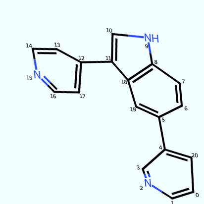 c1cncc(-c2ccc3[nH]cc(-c4ccncc4)c3c2)c1